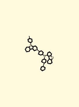 Cc1ccc(-n2c3ccccc3c3cc(-c4ccc(N(c5ccc(-c6ccccc6)cc5)c5cccc6oc7ccccc7c56)cc4)ccc32)cc1